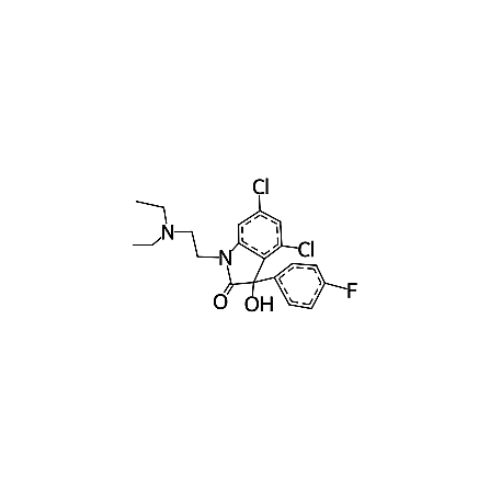 CCN(CC)CCN1C(=O)C(O)(c2ccc(F)cc2)c2c(Cl)cc(Cl)cc21